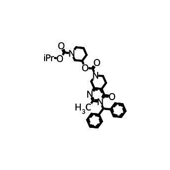 Cc1nc2c(c(=O)n1C(c1ccccc1)c1ccccc1)CCN(C(=O)OC1CCCN(C(=O)OC(C)C)C1)C2